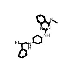 CCC(CN[C@H]1CC[C@@H](Nc2nc(N(C)C)c3ccccc3n2)CC1)c1ccccc1